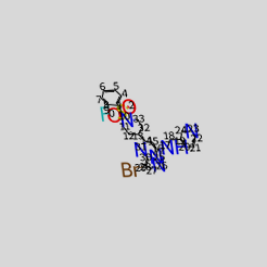 O=S(=O)(c1ccccc1F)N1CCC(c2cc(NCc3cccnc3)n3ncc(Br)c3n2)CC1